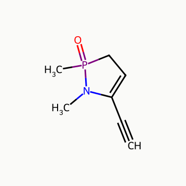 C#CC1=CCP(C)(=O)N1C